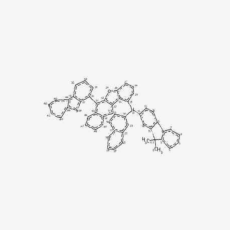 CC1(C)c2ccccc2-c2ccc(N(c3ccc4ccccc4c3)c3cccc4oc5c(-c6cccc7c6sc6ccccc67)c6ccccc6cc5c34)cc21